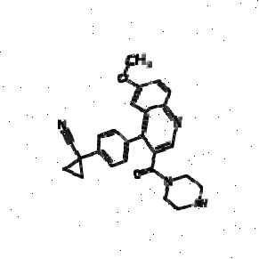 COc1ccc2ncc(C(=O)N3CCNCC3)c(-c3ccc(C4(C#N)CC4)cc3)c2c1